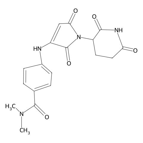 CN(C)C(=O)c1ccc(NC2=CC(=O)N(C3CCC(=O)NC3=O)C2=O)cc1